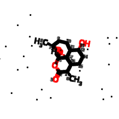 C[C@H]1C(=O)O[C@@H]2O[C@@]3(C)CCC4[C@@H](O)CCC1[C@]42OO3